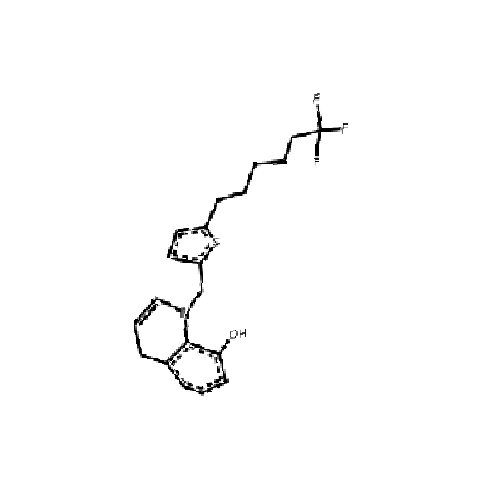 Oc1cccc2c1N(Cc1ccc(CCCCCC(F)(F)F)s1)C=CC2